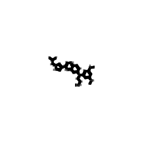 COc1cc(OC)cc(N(CCO)c2ccc3ncc(-c4cnn(CC(C)C)c4)nc3c2)c1